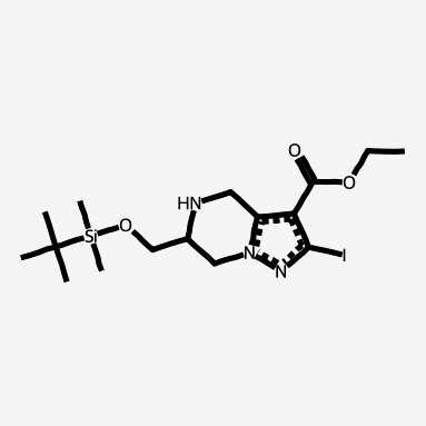 CCOC(=O)c1c(I)nn2c1CNC(CO[Si](C)(C)C(C)(C)C)C2